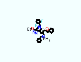 CCOc1nnc2c3cc(CN(C)Cc4ccccc4)c(-c4cc5ccccc5o4)cc3n(Cc3c(F)cccc3F)cc1-2